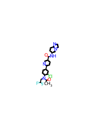 CC(=O)N(CC(F)F)c1ccc(-c2ccc(C(=O)Nc3ccc4nccn4c3)cn2)cc1Cl